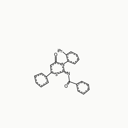 CC(C)c1ccccc1-n1c(=O)cc(-c2ccccc2)s/c1=N\C(=O)c1ccccc1